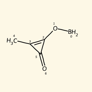 BOc1c(C)c1=O